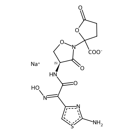 Nc1nc(C(=NO)C(=O)N[C@H]2CON(C3(C(=O)[O-])CCC(=O)O3)C2=O)cs1.[Na+]